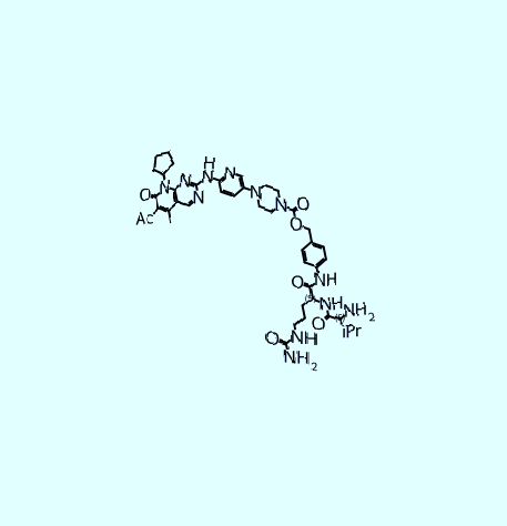 CC(=O)c1c(C)c2cnc(Nc3ccc(N4CCN(C(=O)OCc5ccc(NC(=O)[C@H](CCCNC(N)=O)NC(=O)[C@@H](N)C(C)C)cc5)CC4)cn3)nc2n(C2CCCC2)c1=O